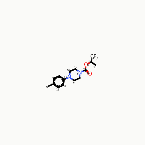 Cc1ccc(N2CCN(C(=O)OC(C)C(F)(F)F)CC2)cc1